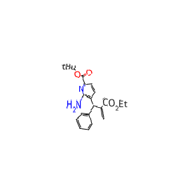 C=C(C(=O)OCC)C(c1ccccc1)c1ccc(C(=O)OC(C)(C)C)nc1N